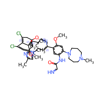 C=C(/C=N\C(=C/CC)c1cc(NC(=O)C=N)c(N2CCCN(C)CCC2)cc1OC)/C=C(/C1=C(/Cl)C/C(OC)=C\C(OC)=C=C1Cl)c1nc(C)cn1C